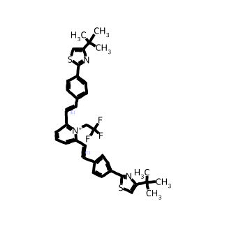 CC(C)(C)c1csc(-c2ccc(/C=C/c3cccc(/C=C/c4ccc(-c5nc(C(C)(C)C)cs5)cc4)[n+]3CC(F)(F)F)cc2)n1